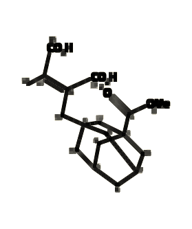 COC(=O)C12CC3CC(CC(CC(C(=O)O)=C(C)C(=O)O)(C3)C1)C2